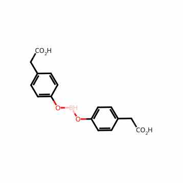 O=C(O)Cc1ccc(OBOc2ccc(CC(=O)O)cc2)cc1